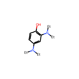 CCN(CC)c1ccc(O)c(N(CC)CC)c1